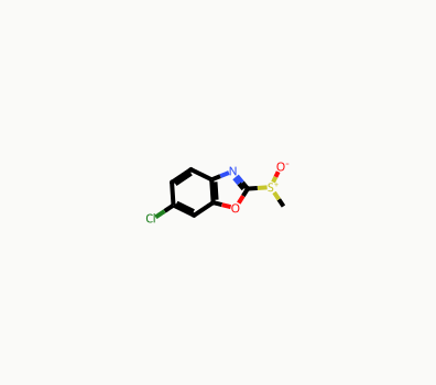 C[S+]([O-])c1nc2ccc(Cl)cc2o1